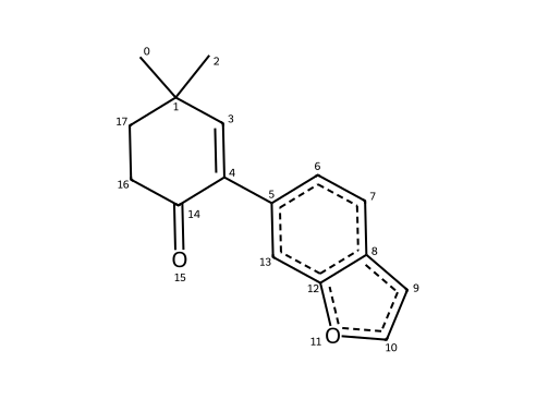 CC1(C)C=C(c2ccc3ccoc3c2)C(=O)CC1